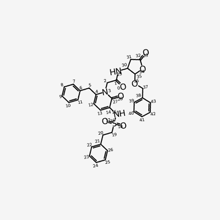 O=C(Cn1c(Cc2ccccc2)ccc(NS(=O)(=O)CCc2ccccc2)c1=O)NC1CC(=O)OC1OCc1ccccc1